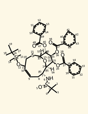 CC(C)(C)[S@@+]([O-])N[C@@H]1CC=CC(O[Si](C)(C)C(C)(C)C)CS[C@H]2O[C@H]1[C@H](OC(=O)c1ccccc1)[C@H](OC(=O)c1ccccc1)[C@H]2OC(=O)c1ccccc1